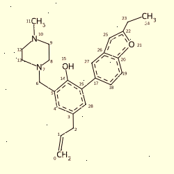 C=CCc1cc(CN2CCN(C)CC2)c(O)c(-c2ccc3oc(CC)cc3c2)c1